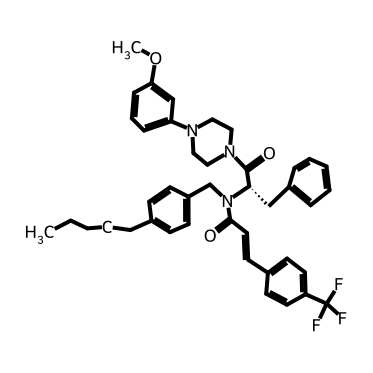 CCCCCc1ccc(CN(C(=O)/C=C/c2ccc(C(F)(F)F)cc2)[C@@H](Cc2ccccc2)C(=O)N2CCN(c3cccc(OC)c3)CC2)cc1